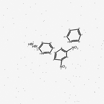 Br.Br.O=[N+]([O-])c1cccc([N+](=O)[O-])c1.c1ccncc1.c1ccncc1